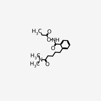 CCC(=O)ONC(=O)c1ccccc1CCCCC(=O)N(C)C